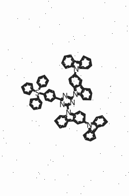 c1ccc(S(c2ccccc2)(c2ccccc2)c2ccc(-c3nc(-n4c5ccccc5c5cc(-n6c7ccccc7c7ccccc76)ccc54)nc(-n4c5ccccc5c5cc(-n6c7ccccc7c7ccccc76)ccc54)n3)cc2)cc1